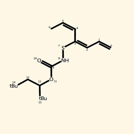 C=C/C=C(\C=C/C)SNC(=O)OC(CC(C)(C)C)C(C)(C)C